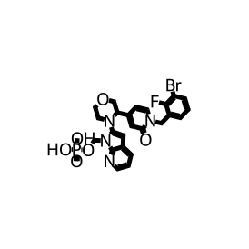 O=c1cc(C2COCCN2c2cc3cccnc3n2COP(=O)(O)O)ccn1Cc1cccc(Br)c1F